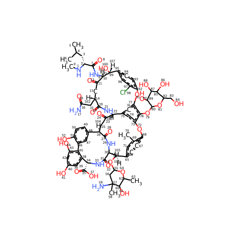 CN[C@H](CC(C)C)C(=O)N[C@H]1C(=O)C[C@@H](CC(N)=O)C(=O)N[C@H]2C(=O)C[C@H]3C(=O)N[C@H](C(=O)N[C@H](C(=O)O)c4cc(O)cc(O)c4-c4cc3ccc4O)[C@H](OC3CC(C)(N)C(O)C(C)O3)c3ccc(c(C)c3)Oc3cc2cc(c3OC2OC(CO)C(O)C(O)C2O)Oc2ccc(cc2Cl)[C@H]1O